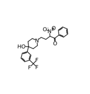 O=C(c1ccccc1)C(CCN1CCC(O)(c2cccc(C(F)(F)F)c2)CC1)[N+](=O)[O-]